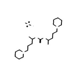 CC(CCCN1CCCCC1)OC(=O)OC(C)CCCN1CCCCC1.O.O=S(=O)(O)O